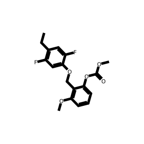 CCc1cc(F)c(OCc2c(OC)cccc2OC(=O)OC)cc1F